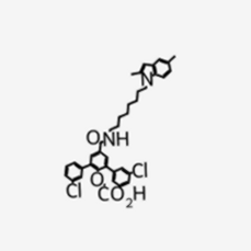 Cc1ccc2c(c1)cc(C)n2CCCCCCCCNC(=O)c1cc(-c2cccc(Cl)c2)c(OCC(=O)O)c(-c2cccc(Cl)c2)c1